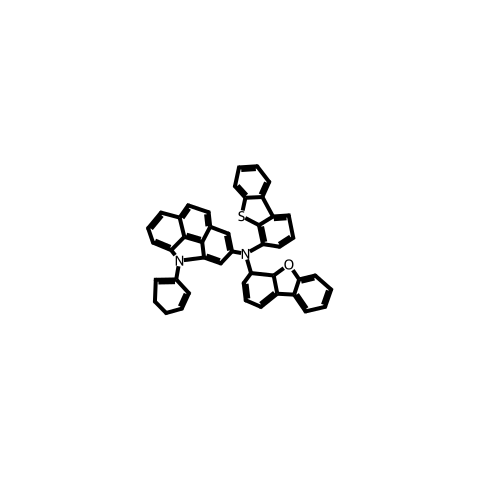 C1=CC(N(c2cc3ccc4cccc5c4c3c(c2)n5C2=CCCC=C2)c2cccc3c2sc2ccccc23)C2Oc3ccccc3C2=C1